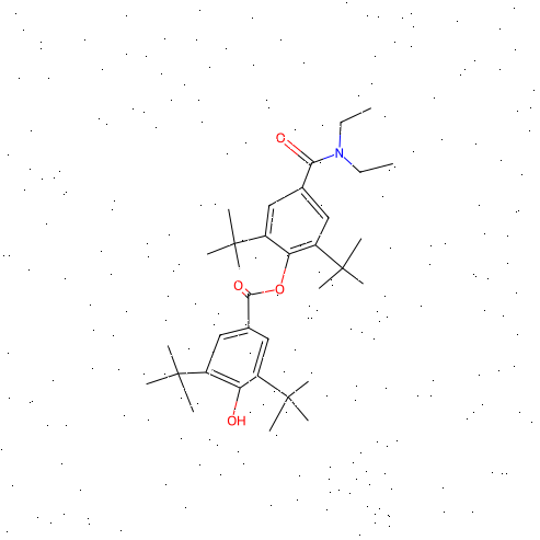 CCN(CC)C(=O)c1cc(C(C)(C)C)c(OC(=O)c2cc(C(C)(C)C)c(O)c(C(C)(C)C)c2)c(C(C)(C)C)c1